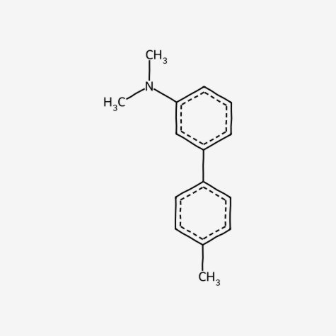 Cc1ccc(-c2cccc(N(C)C)c2)cc1